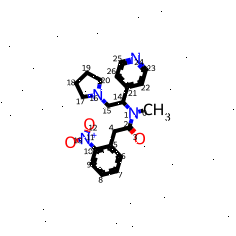 CN(C(=O)Cc1ccccc1[N+](=O)[O-])C(CN1CCCC1)c1ccncc1